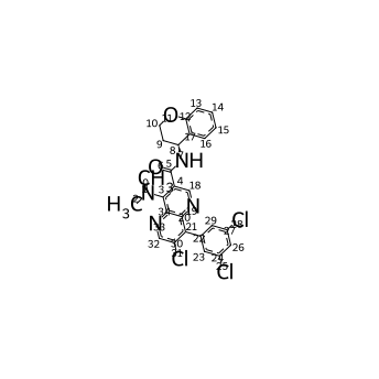 CN(C)c1c(C(=O)N[C@H]2CCOc3ccccc32)cnc2c(-c3cc(Cl)cc(Cl)c3)c(Cl)cnc12